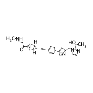 CNCCC(=O)N1C[C@@H]2[C@@H](C#Cc3ccc(-c4cc(Cn5ccnc5[C@H](C)O)no4)cc3)[C@@H]2C1